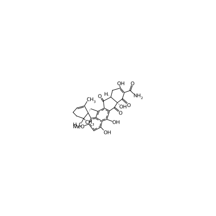 COc1cc(O)c2c(O)c3c(c4c2c1[C@]1(C4)C(C)=CCCC1(C)C)C(=O)[C@H]1CC(O)=C(C(N)=O)C(=O)[C@@]1(O)C3=O